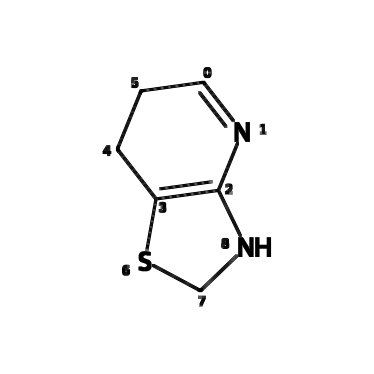 C1=NC2=C(CC1)SCN2